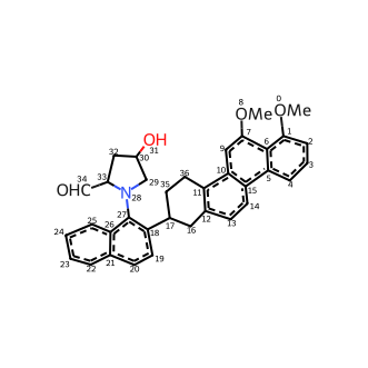 COc1cccc2c1c(OC)cc1c3c(ccc12)CC(c1ccc2ccccc2c1N1CC(O)CC1C=O)CC3